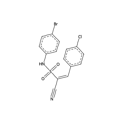 N#CC(=Cc1ccc(Cl)cc1)S(=O)(=O)Nc1ccc(Br)cc1